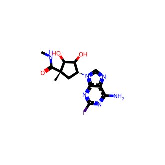 CNC(=O)[C@@]1(C)C[C@@H](n2cnc3c(N)nc(I)nc32)C(O)C1O